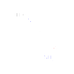 CN1CCC(C=CC(N)=O)CC1